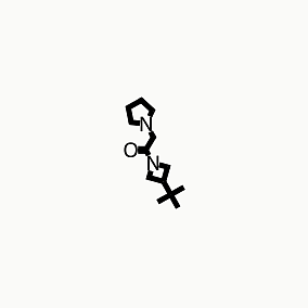 CC(C)(C)C1CN(C(=O)CN2CCCC2)C1